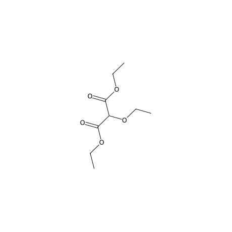 CCOC(=O)C(OCC)C(=O)OCC